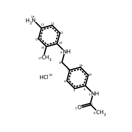 CC(=O)Nc1ccc(CNc2ccc(N)cc2C)cc1.Cl